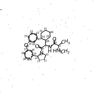 CNC(C)C(=O)NC(C(=O)N1CCCC1c1cc(Oc2ccccc2)ccn1)C1CCCCC1